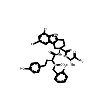 CCC(C)[C@H](NC(=O)[C@@]1(NC(=O)[C@H](CCc2ccc(O)cc2)N(Cc2ccccc2F)C(=O)O)CCc2[nH]c3c(Cl)cc(Cl)cc3c2C1)C(N)=O